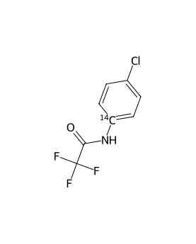 O=C(N[14c]1ccc(Cl)cc1)C(F)(F)F